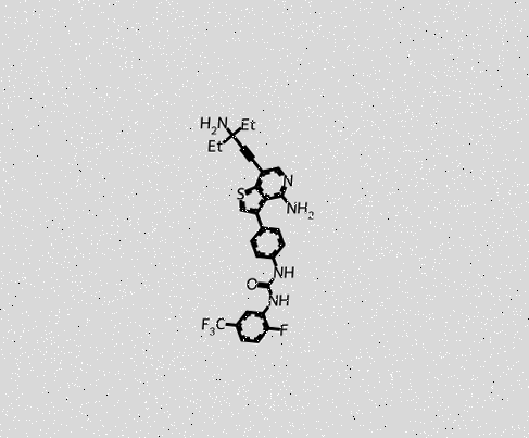 CCC(N)(C#Cc1cnc(N)c2c(-c3ccc(NC(=O)Nc4cc(C(F)(F)F)ccc4F)cc3)csc12)CC